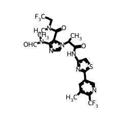 Cc1cc(-c2nc(NC(=O)C(C)n3cnc(N(C)C=O)c3C(=O)N(C)CC(F)(F)F)cs2)cnc1C(F)(F)F